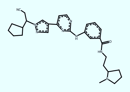 CN1CCCC1CCNC(=O)c1cccc(Nc2nccc(-c3cnn(C(CC#N)C4CCCC4)c3)n2)c1